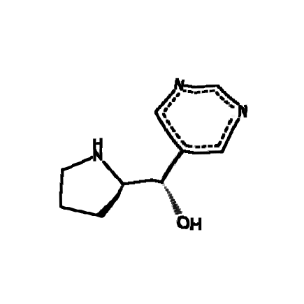 O[C@@H](c1cncnc1)[C@H]1CCCN1